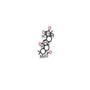 COC(=O)[C@]12CCC(C)(C)C[C@H]1[C@H]1C(=O)C=C3[C@@]4(C)[C@H]5O[C@@]5(C#N)C(=O)C(C)(C)[C@@H]4CC[C@@]3(C)[C@]1(C)CC2